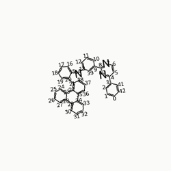 c1ccc(-c2ccnc(-c3cccc(-n4c5ccccc5c5c6c7ccccc7c7ccccc7c6ccc54)c3)n2)cc1